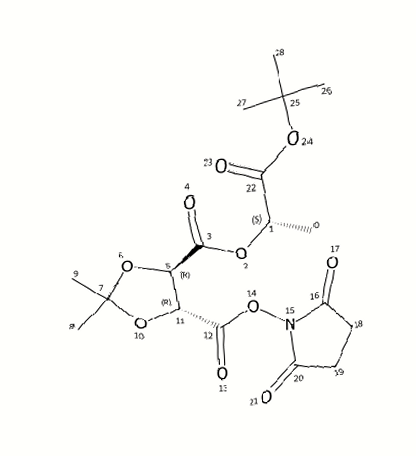 C[C@H](OC(=O)[C@@H]1OC(C)(C)O[C@H]1C(=O)ON1C(=O)CCC1=O)C(=O)OC(C)(C)C